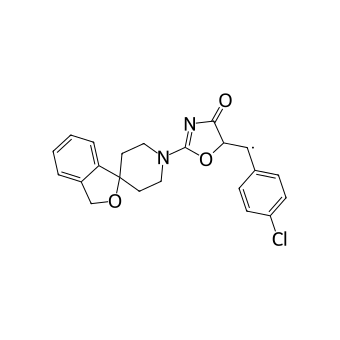 O=C1N=C(N2CCC3(CC2)OCc2ccccc23)OC1[CH]c1ccc(Cl)cc1